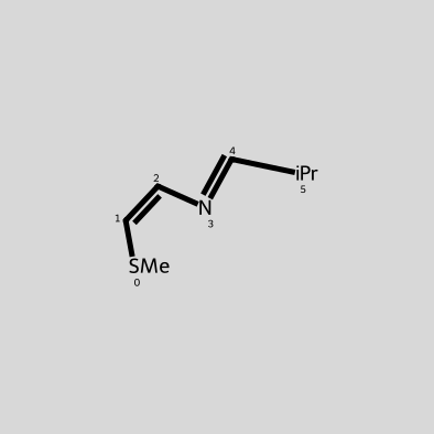 CS/C=C\N=C\C(C)C